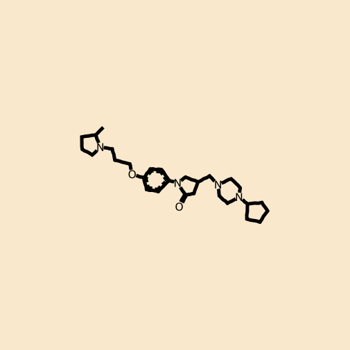 CC1CCCN1CCCOc1ccc(N2CC(CN3CCN(C4CCCC4)CC3)CC2=O)cc1